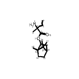 CCC(C)(N)C(=O)OC1CC2CCC1(C)C2(C)C